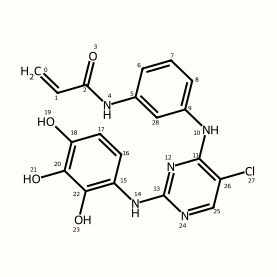 C=CC(=O)Nc1cccc(Nc2nc(Nc3ccc(O)c(O)c3O)ncc2Cl)c1